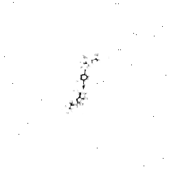 COC(=O)CC[C@H](NC(=O)c1ccc(C#Cn2cnc3nc(NC(=O)C(C)(C)C)cc-3c2O)c(F)c1)C(=O)OC